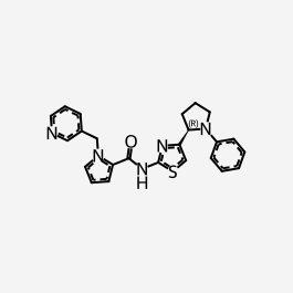 O=C(Nc1nc([C@H]2CCCN2c2ccccc2)cs1)c1cccn1Cc1cccnc1